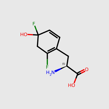 N[C@@H](CC1=C(F)CC(O)(F)C=C1)C(=O)O